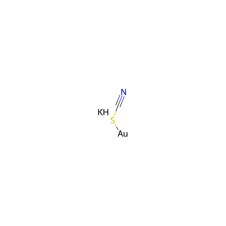 N#C[S][Au].[KH]